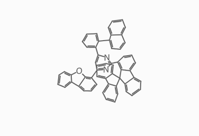 c1ccc(-c2cccc3ccccc23)c(-c2cc(-c3cccc4c3oc3ccccc34)nc(-c3cccc4c3C3(c5ccccc5-c5ccccc53)c3ccccc3-4)n2)c1